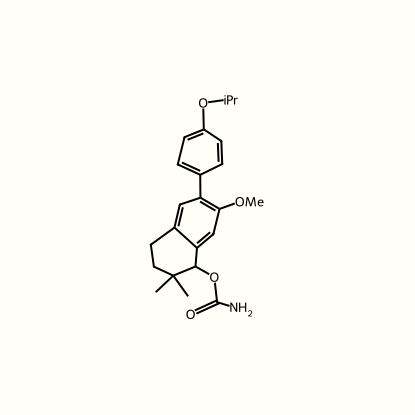 COc1cc2c(cc1-c1ccc(OC(C)C)cc1)CCC(C)(C)C2OC(N)=O